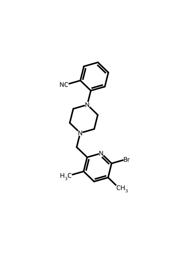 Cc1cc(C)c(CN2CCN(c3ccccc3C#N)CC2)nc1Br